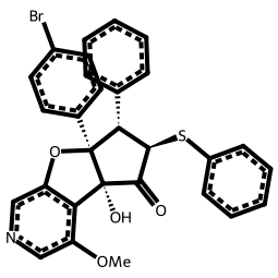 COc1cncc2c1[C@]1(O)C(=O)[C@H](Sc3ccccc3)[C@@H](c3ccccc3)[C@]1(c1ccc(Br)cc1)O2